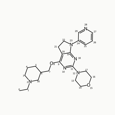 CCN1CCCC(COc2nc(N3CCOCC3)nc3c2CCN3c2cccnc2)C1